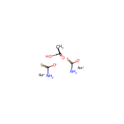 CC(=O)O.NC([O-])=S.NC([O-])=S.[Na+].[Na+]